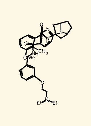 CCN(CC)CCOc1cccc(CNC(=O)c2ccc(N3C4CCC3CC(NC(=O)c3cccc(OC)c3C)C4)nc2)c1